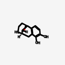 Oc1ccc2c(c1O)C[C@H]1NCC[C@@]23CCCC[C@@H]13